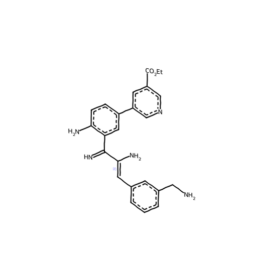 CCOC(=O)c1cncc(-c2ccc(N)c(C(=N)/C(N)=C/c3cccc(CN)c3)c2)c1